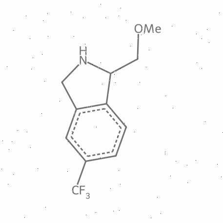 COCC1NCc2cc(C(F)(F)F)ccc21